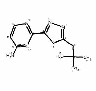 CC(C)(C)Cc1nnc(-c2nccc(N)n2)s1